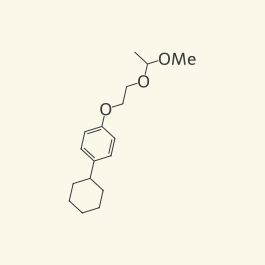 COC(C)OCCOc1ccc(C2CCCCC2)cc1